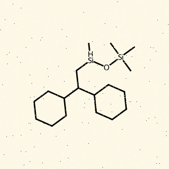 C[SiH](CC(C1CCCCC1)C1CCCCC1)O[Si](C)(C)C